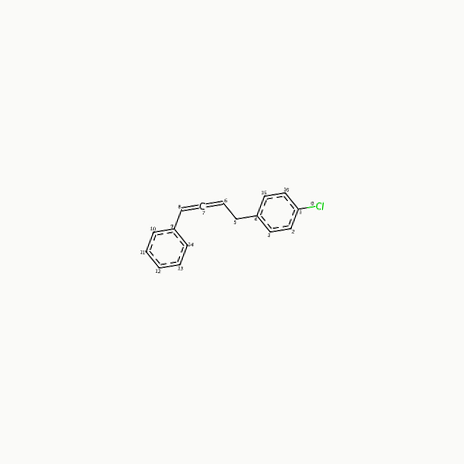 Clc1ccc(CC=C=Cc2ccccc2)cc1